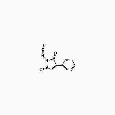 O=C=NN1C(=O)C=C(c2ccccc2)C1=O